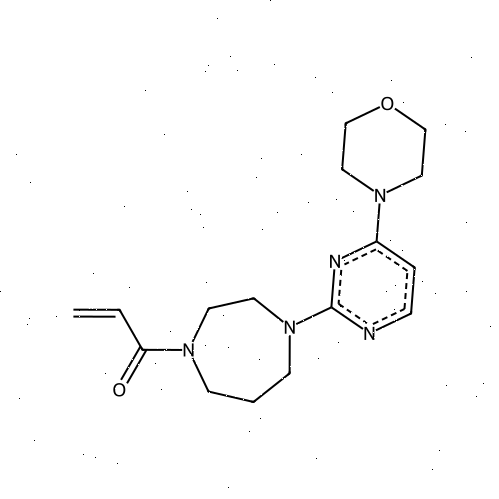 C=CC(=O)N1CCCN(c2nccc(N3CCOCC3)n2)CC1